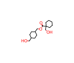 O=C(OCC1CCC(CO)CC1)C1(CO)CCCCC1